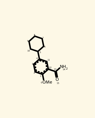 COc1ccc(C2CCCCC2)cc1C(N)=O